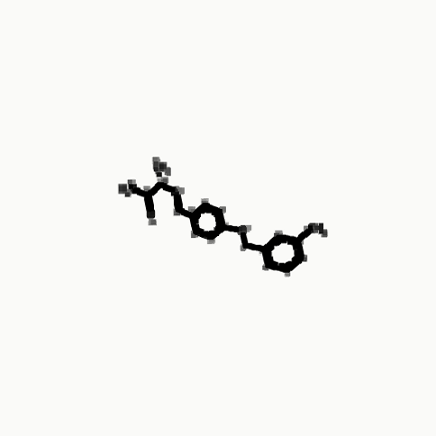 Cc1cccc(COc2ccc(/C=N/[C@@H](C)C(N)=O)cc2)c1